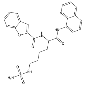 NS(=O)(=O)NCCCCC(NC(=O)c1cc2ccccc2o1)C(=O)Nc1cccc2cccnc12